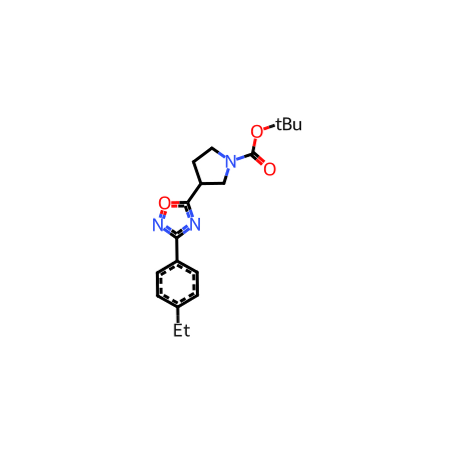 CCc1ccc(-c2noc(C3CCN(C(=O)OC(C)(C)C)C3)n2)cc1